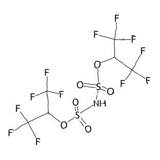 O=S(=O)(NS(=O)(=O)OC(C(F)(F)F)C(F)(F)F)OC(C(F)(F)F)C(F)(F)F